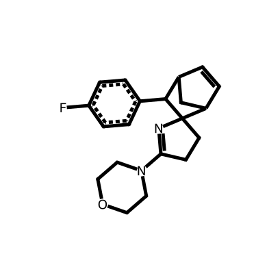 Fc1ccc(C2C3C=CC(C3)C23CCC(N2CCOCC2)=N3)cc1